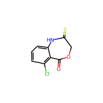 O=C1OCC(=S)Nc2cccc(Cl)c21